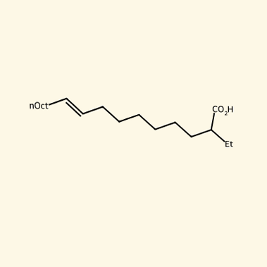 CCCCCCCCC=CCCCCCCC(CC)C(=O)O